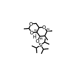 CC1OCC2O[C@@H](C)C(C)[C@@H](O[Si](C(C)C)(C(C)C)C(C)C)[C@H]2O1